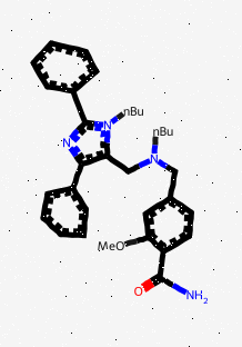 CCCCN(Cc1ccc(C(N)=O)c(OC)c1)Cc1c(-c2ccccc2)nc(-c2ccccc2)n1CCCC